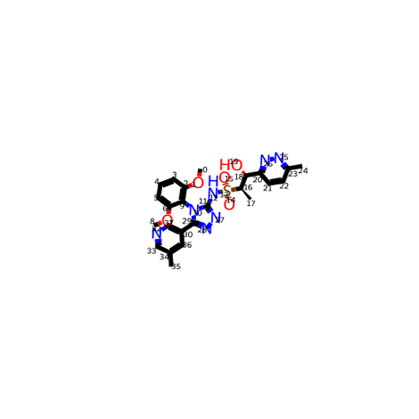 COc1cccc(OC)c1-n1c(NS(=O)(=O)[C@H](C)[C@@H](O)c2ccc(C)nn2)nnc1-c1cncc(C)c1